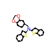 c1ccc2sc(N(Cc3ccc4c(c3)OCCO4)c3cc4ccccc4s3)cc2c1